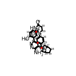 Nc1nnc(-c2cc(F)ccc2O)cc1N1CC2CCC(C1)N2Cc1ccc(N2CCC(=O)NC2=O)cc1